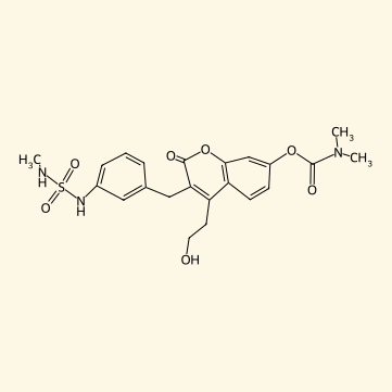 CNS(=O)(=O)Nc1cccc(Cc2c(CCO)c3ccc(OC(=O)N(C)C)cc3oc2=O)c1